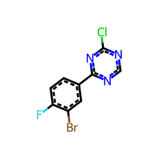 Fc1ccc(-c2ncnc(Cl)n2)cc1Br